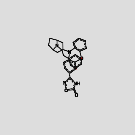 O=c1[nH]c(-c2ccc3c(c2)Oc2ccccc2N3C2CC3CCC(C2)N3CCc2ccccc2)no1